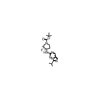 CC(C)c1ncc2cnc(N[C@@H]3CCN(C(=O)OC(C)(C)C)C[C@H]3F)nn12